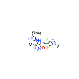 CNc1c(C(N)=O)c(C#Cc2c(F)cc3c(ncn3C3CC3)c2F)nn1[C@@H]1CN[C@@H](COC)C1